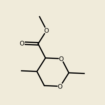 COC(=O)C1OC(C)OCC1C